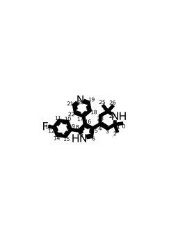 CC1(C)C=C(c2c[nH]c(-c3ccc(F)cc3)c2-c2ccncc2)CC(C)(C)N1